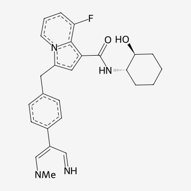 CN/C=C(\C=N)c1ccc(Cc2cc(C(=O)N[C@H]3CCCC[C@@H]3O)c3c(F)cccn23)cc1